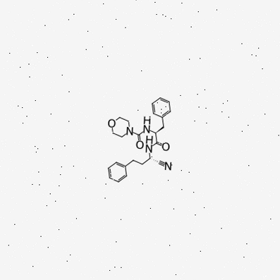 N#C[C@H](CCc1ccccc1)NC(=O)[C@H](Cc1ccccc1)NC(=O)N1CCOCC1